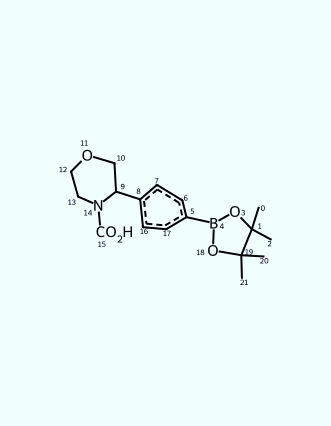 CC1(C)OB(c2ccc(C3COCCN3C(=O)O)cc2)OC1(C)C